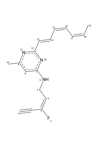 C#C/C(F)=C\CNc1cc(C)nc(/C=C/C=C\C=C/C)n1